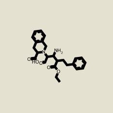 CCOC(=O)C(CCc1ccccc1)C(N)C(C=O)N1Cc2ccccc2CC1C(=O)O